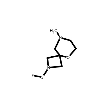 CN1CCOC2(C1)CN(SF)C2